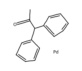 CC(=O)C(c1ccccc1)c1ccccc1.[Pd]